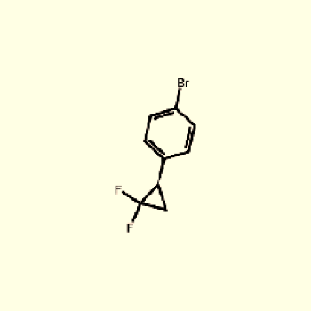 FC1(F)C[C@@H]1c1ccc(Br)cc1